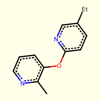 CCc1ccc(Oc2cccnc2C)nc1